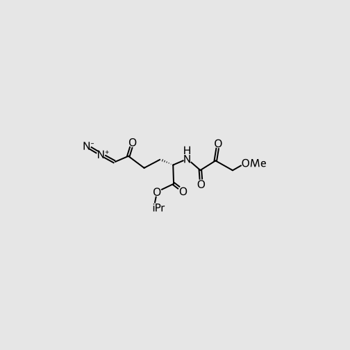 COCC(=O)C(=O)N[C@@H](CCC(=O)C=[N+]=[N-])C(=O)OC(C)C